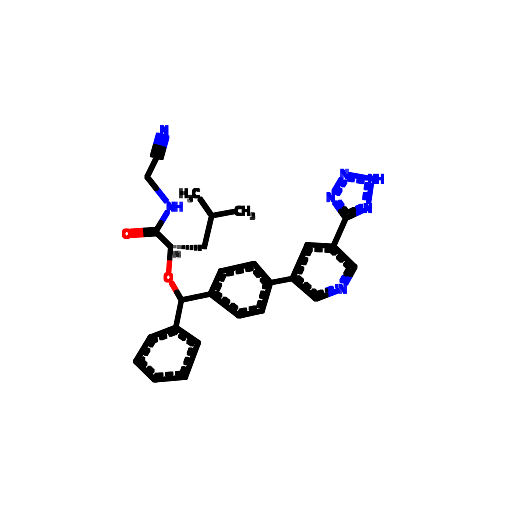 CC(C)C[C@H](OC(c1ccccc1)c1ccc(-c2cncc(-c3nn[nH]n3)c2)cc1)C(=O)NCC#N